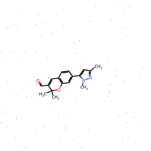 Cc1cc(-c2ccc3c(c2)OC(C)(C)C(C=O)=C3)n(C)n1